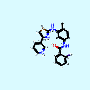 Cc1ccc(NC(=O)c2ccccc2I)cc1Nc1nc(-c2cccnc2)cs1